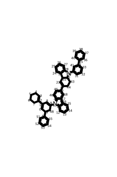 C1=C(C2=CCCCC2)C=C(n2c3ccccc3c3cc(C4=CC5c6ccccc6N(c6cccc(-c7ccccc7)c6)C5CC4)ccc32)CC1c1ccccc1